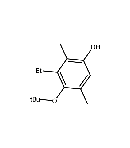 CCc1c(C)c(O)cc(C)c1OC(C)(C)C